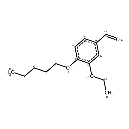 CCCCCOc1ccc(C=O)cc1OCC